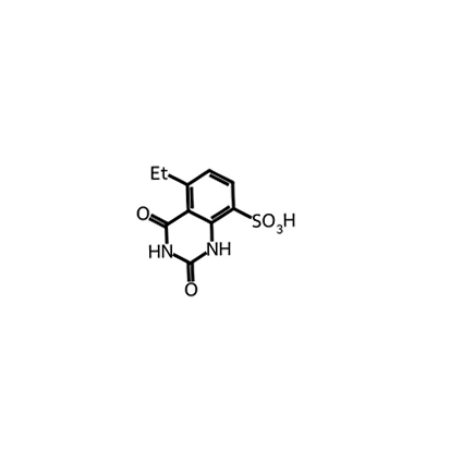 CCc1ccc(S(=O)(=O)O)c2[nH]c(=O)[nH]c(=O)c12